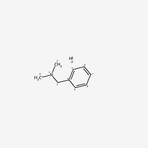 CN(C)Cc1ccccc1.I